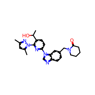 Cc1cc(C)n(-c2nc(-n3cnc4ccc(CN5CCCCC5=O)cc43)ccc2C(C)O)n1